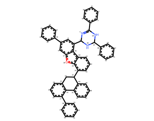 c1ccc(C2=NC(c3cc(-c4ccccc4)cc4oc5c(C6Cc7cccc(-c8ccccc8)c7-c7ccccc76)cccc5c34)NC(c3ccccc3)N2)cc1